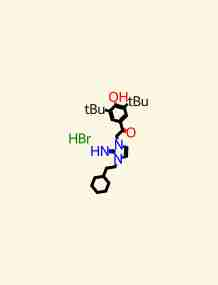 Br.CC(C)(C)c1cc(C(=O)Cn2ccn(CCC3CCCCC3)c2=N)cc(C(C)(C)C)c1O